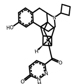 O=C(c1ccc(=O)[nH]n1)N1CC23CC45CC2[C@@H]1C3C41CCN(C2CCC2)C5Cc2ccc(O)cc21